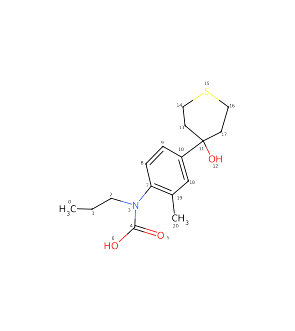 CCCN(C(=O)O)c1ccc(C2(O)CCSCC2)cc1C